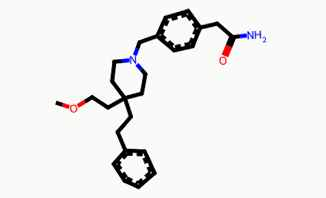 COCCC1(CCc2ccccc2)CCN(Cc2ccc(CC(N)=O)cc2)CC1